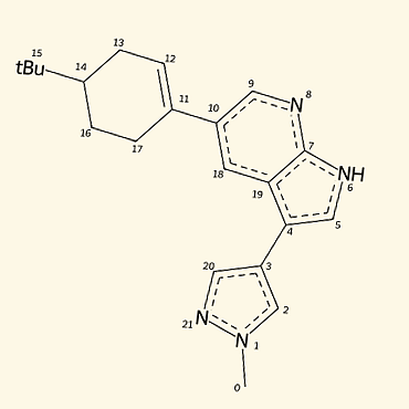 Cn1cc(-c2c[nH]c3ncc(C4=CCC(C(C)(C)C)CC4)cc23)cn1